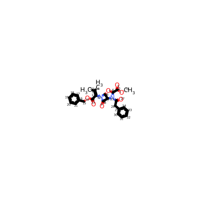 COC(=O)C1OC2C(C(=O)N2C(C(=O)OCc2ccccc2)=C(C)C)N1C(=O)Cc1ccccc1